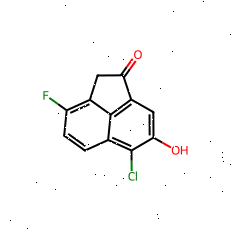 O=C1Cc2c(F)ccc3c(Cl)c(O)cc1c23